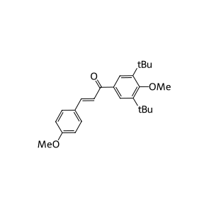 COc1ccc(/C=C/C(=O)c2cc(C(C)(C)C)c(OC)c(C(C)(C)C)c2)cc1